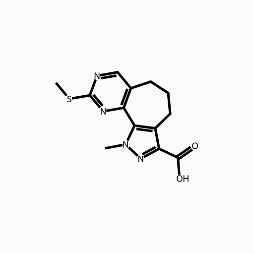 CSc1ncc2c(n1)-c1c(c(C(=O)O)nn1C)CCC2